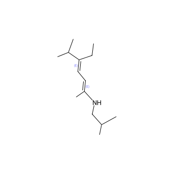 CC/C(=C\C=C(/C)NCC(C)C)C(C)C